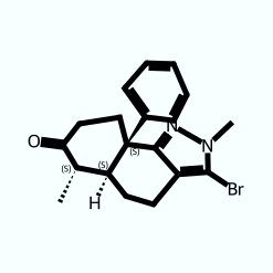 C[C@@H]1C(=O)CC[C@]2(c3ccccc3)c3nn(C)c(Br)c3CC[C@@H]12